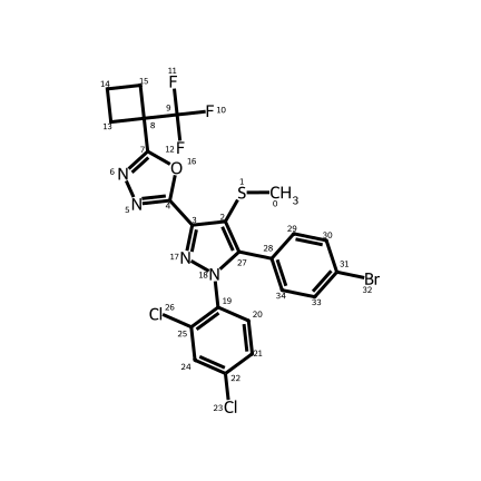 CSc1c(-c2nnc(C3(C(F)(F)F)CCC3)o2)nn(-c2ccc(Cl)cc2Cl)c1-c1ccc(Br)cc1